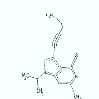 Cc1cc2c(c(C#CCN)cn2C(C)C)c(=O)[nH]1